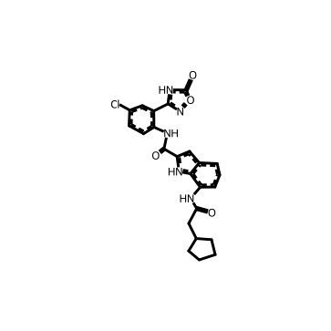 O=C(CC1CCCC1)Nc1cccc2cc(C(=O)Nc3ccc(Cl)cc3-c3noc(=O)[nH]3)[nH]c12